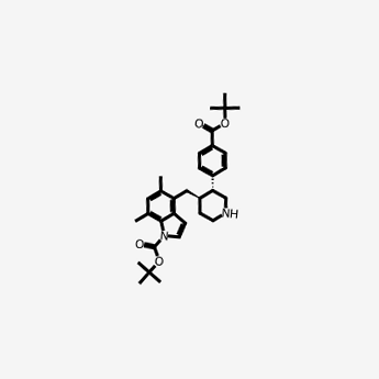 Cc1cc(C)c2c(ccn2C(=O)OC(C)(C)C)c1C[C@@H]1CCNC[C@H]1c1ccc(C(=O)OC(C)(C)C)cc1